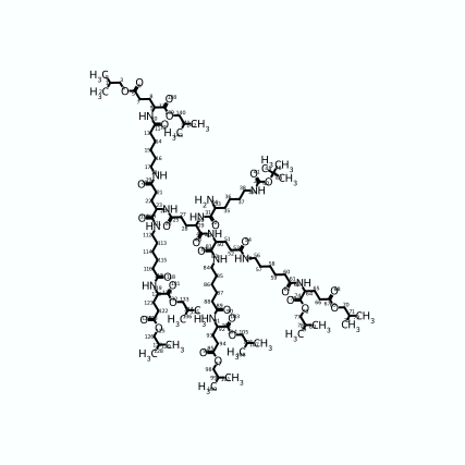 CC(C)COC(=O)CCC(NC(=O)CCCCCNC(=O)CCC(NC(=O)CCC(NC(=O)C(N)CCCCNC(=O)OC(C)(C)C)C(=O)NC(CCC(=O)NCCCCCC(=O)NC(CCC(=O)OCC(C)C)C(=O)OCC(C)C)C(=O)NCCCCCC(=O)NC(CCC(=O)OCC(C)C)C(=O)OCC(C)C)C(=O)NCCCCCC(=O)NC(CCC(=O)OCC(C)C)C(=O)OCC(C)C)C(=O)OCC(C)C